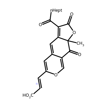 CCCCCCCC(=O)C1=C2C=C3C=C(/C=C/C(=O)O)OC=C3C(=O)C2(C)OC1=O